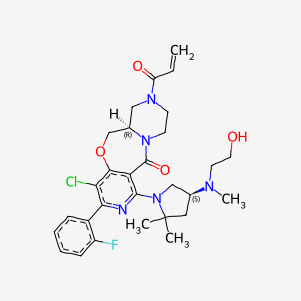 C=CC(=O)N1CCN2C(=O)c3c(N4C[C@@H](N(C)CCO)CC4(C)C)nc(-c4ccccc4F)c(Cl)c3OC[C@H]2C1